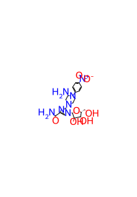 NC(=O)c1cn([C@@H]2O[C@H](CO)[C@@H](O)[C@H]2O)c(N2CCN(c3ccc([N+](=O)[O-])cc3)C(N)C2)n1